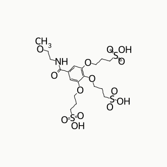 COCCNC(=O)c1cc(OCCCS(=O)(=O)O)c(OCCCS(=O)(=O)O)c(OCCCS(=O)(=O)O)c1